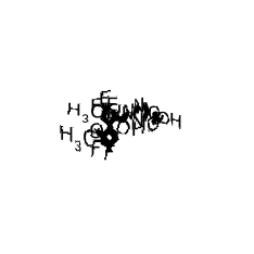 COc1c(C2CC(C)(C(F)(F)F)SC2C(=O)Nc2ncc(OB(O)O)cn2)ccc(F)c1F